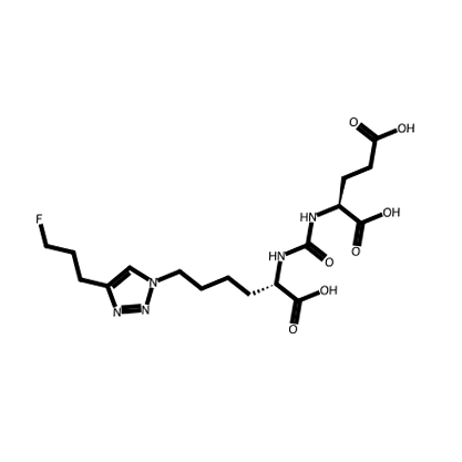 O=C(O)CC[C@H](NC(=O)N[C@@H](CCCCn1cc(CCCF)nn1)C(=O)O)C(=O)O